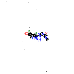 CCc1cc(O)c(F)cc1-c1cc(F)c2c(-c3nc4c([nH]3)CN(C(=O)C3CCN(C(C)C)CC3)CC4)n[nH]c2c1